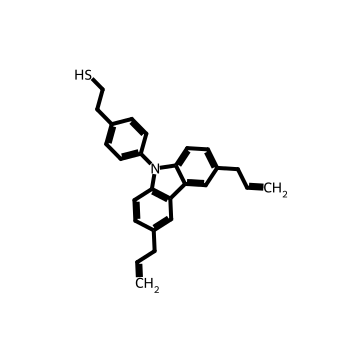 C=CCc1ccc2c(c1)c1cc(CC=C)ccc1n2-c1ccc(CCS)cc1